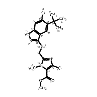 COC(=O)c1c(Cl)nc(CNc2n[nH]c3cc(Cl)c(C(C)(C)C)cc23)n1C